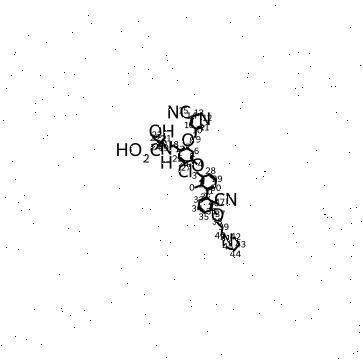 Cc1c(COc2cc(OCc3cncc(C#N)c3)c(CN[C@@](C)(CO)C(=O)O)cc2Cl)cccc1-c1cccc(OCCCN2CCCC2)c1C#N